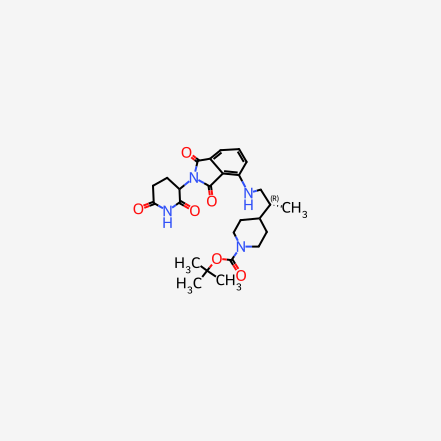 C[C@@H](CNc1cccc2c1C(=O)N(C1CCC(=O)NC1=O)C2=O)C1CCN(C(=O)OC(C)(C)C)CC1